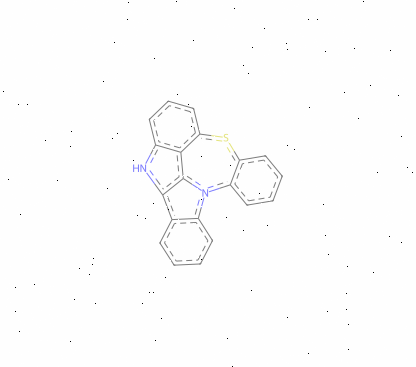 c1cc2[nH]c3c4ccccc4n4c5ccccc5sc(c1)c2c34